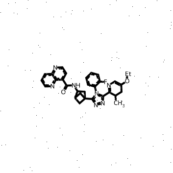 CCOC1=CN=C(c2nnc(C34CC(C3)C(NC(=O)c3ccnc5cccnc35)C4)n2-c2ccccc2F)C(C)C1